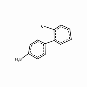 Bc1ccc(-c2ccccc2Cl)cc1